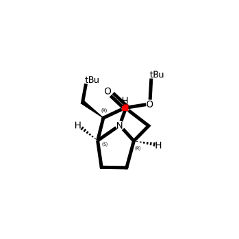 CC(C)(C)C[C@H]1NC[C@H]2CC[C@@H]1N2C(=O)OC(C)(C)C